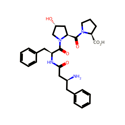 N[C@H](CC(=O)N[C@@H](Cc1ccccc1)C(=O)N1C[C@H](O)C[C@H]1C(=O)N1CCC[C@H]1C(=O)O)Cc1ccccc1